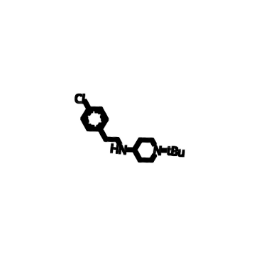 CC(C)(C)N1CCC(NCCc2ccc(Cl)cc2)CC1